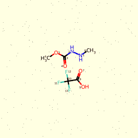 CNNC(=O)OC.O=C(O)C(F)(F)F